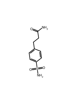 NC(=O)CCc1ccc(S(N)(=O)=O)cc1